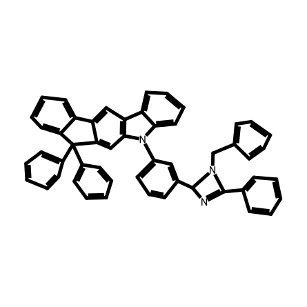 c1ccc(CN2C(c3ccccc3)=NC2c2cccc(-n3c4ccccc4c4cc5c(cc43)C(c3ccccc3)(c3ccccc3)c3ccccc3-5)c2)cc1